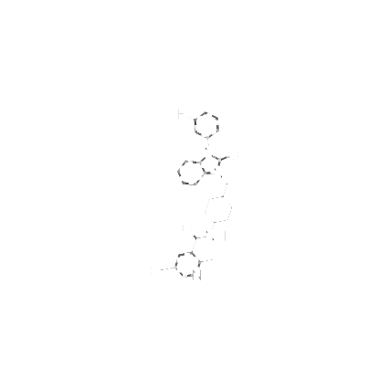 Cc1ncc(Cl)cc1C(=O)NC1CCC(Cn2c(=O)n(-c3cccc(F)c3)c3ccccc32)CC1